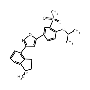 CC(C)Oc1ccc(-c2cc(-c3cccc4c3CC[C@H]4N)no2)cc1S(C)(=O)=O